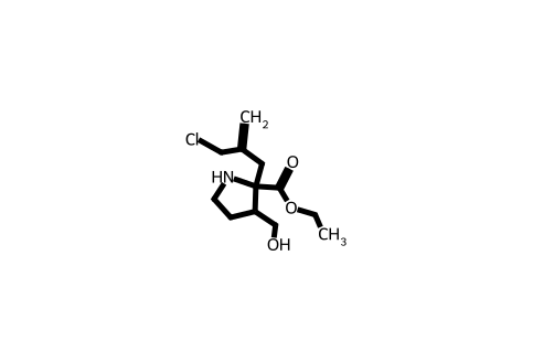 C=C(CCl)CC1(C(=O)OCC)NCCC1CO